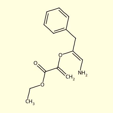 C=C(O/C(=C\N)Cc1ccccc1)C(=O)OCC